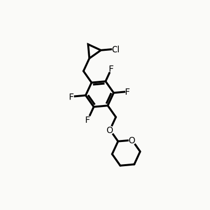 Fc1c(F)c(CC2CC2Cl)c(F)c(F)c1COC1CCCCO1